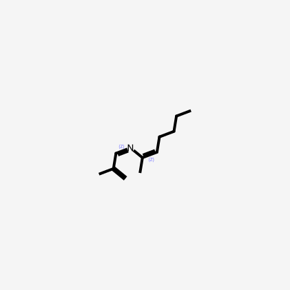 C=C(C)/C=N\C(C)=C/CCCC